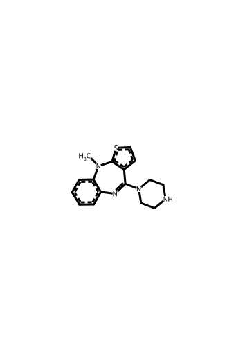 CN1c2ccccc2N=C(N2CCNCC2)c2ccsc21